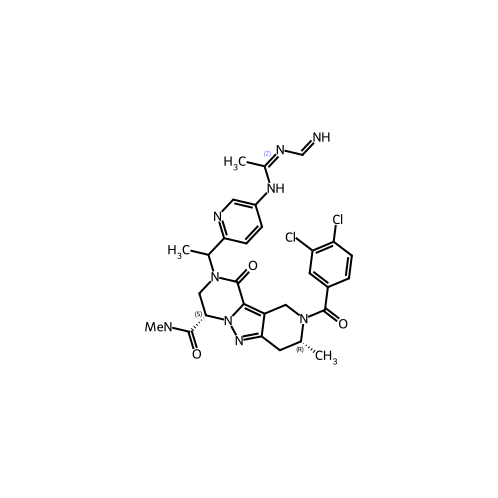 CNC(=O)[C@@H]1CN(C(C)c2ccc(N/C(C)=N\C=N)cn2)C(=O)c2c3c(nn21)C[C@@H](C)N(C(=O)c1ccc(Cl)c(Cl)c1)C3